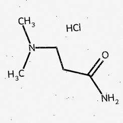 CN(C)CCC(N)=O.Cl